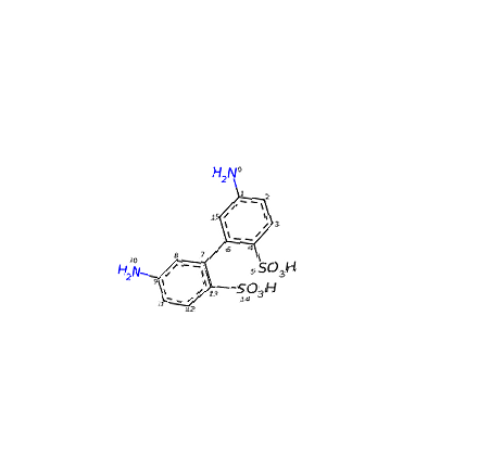 Nc1ccc(S(=O)(=O)O)c(-c2cc(N)ccc2S(=O)(=O)O)c1